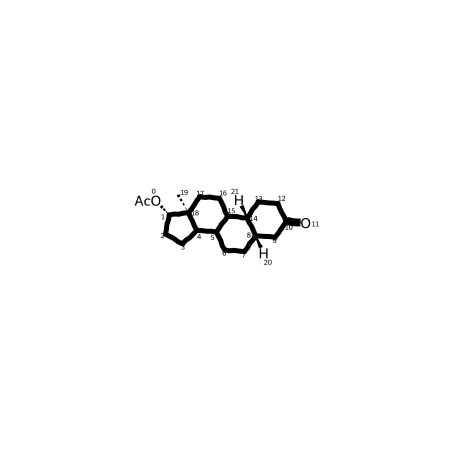 CC(=O)O[C@H]1CCC2C3CC[C@H]4CC(=O)CC[C@H]4C3CC[C@@]21C